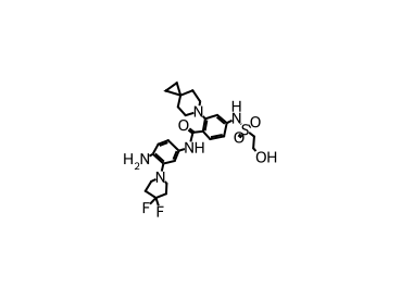 Nc1ccc(NC(=O)c2ccc(NS(=O)(=O)CCO)cc2N2CCC3(CC2)CC3)cc1N1CCC(F)(F)CC1